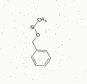 C[Si]OCc1ccccc1